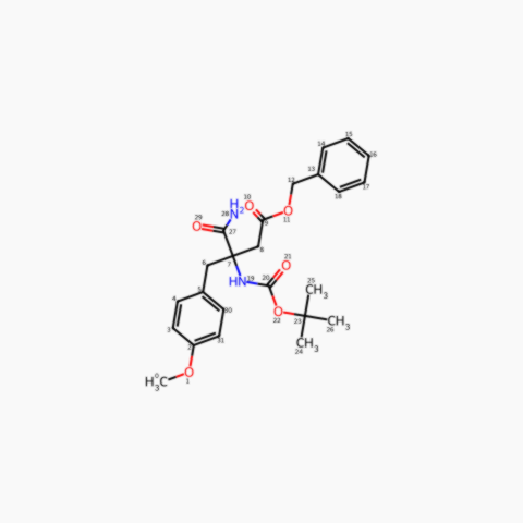 COc1ccc(CC(CC(=O)OCc2ccccc2)(NC(=O)OC(C)(C)C)C(N)=O)cc1